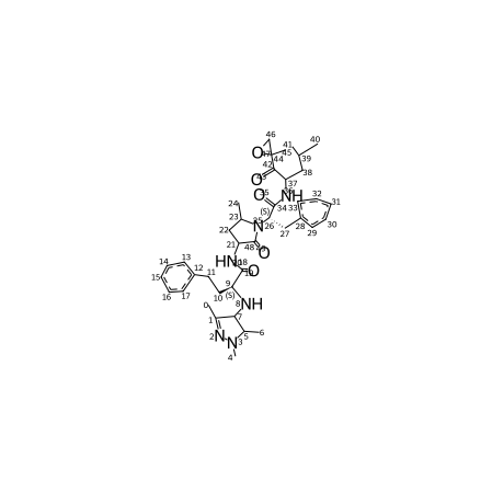 CC1=NN(C)C(C)C1N[C@@H](CCc1ccccc1)C(=O)NC1CC(C)N([C@@H](Cc2ccccc2)C(=O)NC(CC(C)C)C(=O)C2(C)CO2)C1=O